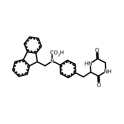 O=C1CNC(=O)C(Cc2ccc(N(CC3c4ccccc4-c4ccccc43)C(=O)O)cc2)N1